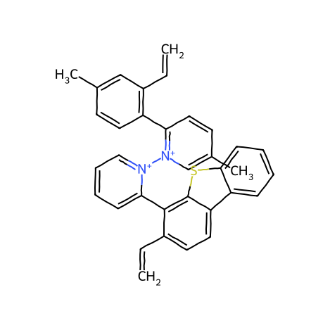 C=Cc1cc(C)ccc1-c1ccc(C)c[n+]1-[n+]1ccccc1-c1c(C=C)ccc2c1sc1ccccc12